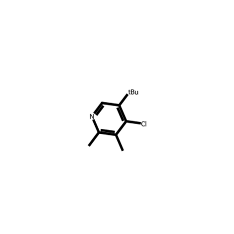 Cc1ncc(C(C)(C)C)c(Cl)c1C